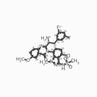 COc1ccc2nc([C@@H](N)Cc3cc(F)cc(F)c3)n(-c3ccc(Cl)c4c(NS(C)(=O)=O)nn(C)c34)c(=O)c2c1